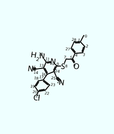 Cc1ccc(C(=O)CSc2nc(N)c(C#N)c(-c3ccc(Cl)cc3)c2C#N)cc1